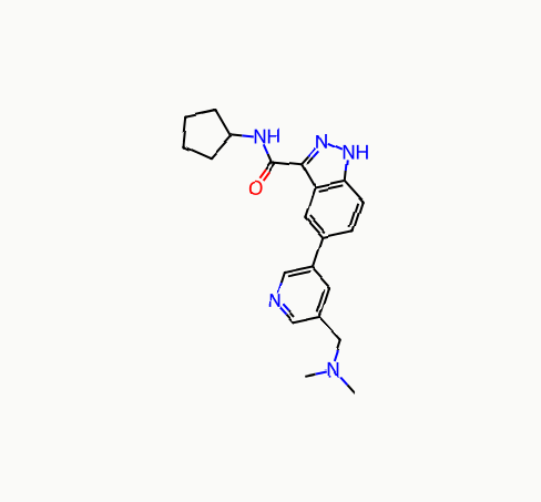 CN(C)Cc1cncc(-c2ccc3[nH]nc(C(=O)NC4CCCC4)c3c2)c1